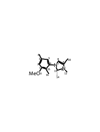 COc1cc(C)cc(N2C=C(C)N(C)[C@@H]2C)c1C